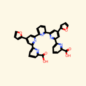 O=C(O)c1cccc(-c2cc(-c3ccco3)cc(-c3cccc(-c4cc(-c5ccco5)cc(-c5cccc(C(=O)O)n5)n4)n3)n2)n1